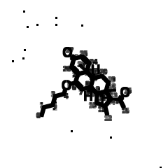 CCCCCOC1=C[C@H]2[C@@H]3CC(C)[C@H](C(C)=O)[C@@]3(C)CC[C@@H]2[C@@]2(C)C=CC(=O)C=C12